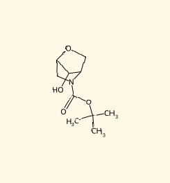 CC(C)(C)OC(=O)N1CC2OCC1C2O